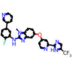 Cn1c(Nc2cc(-c3cccnc3)ccc2F)nc2cc(Oc3ccnc(-c4ncc(C(F)(F)F)[nH]4)c3)ccc21